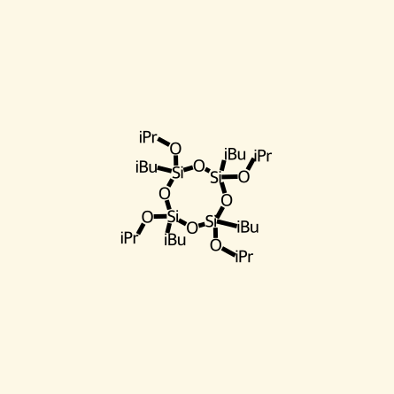 CCC(C)[Si]1(OC(C)C)O[Si](OC(C)C)(C(C)CC)O[Si](OC(C)C)(C(C)CC)O[Si](OC(C)C)(C(C)CC)O1